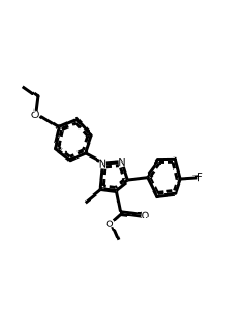 CCOc1ccc(-n2nc(-c3ccc(F)cc3)c(C(=O)OC)c2C)cc1